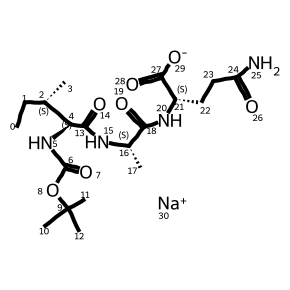 CC[C@H](C)[C@H](NC(=O)OC(C)(C)C)C(=O)N[C@@H](C)C(=O)N[C@@H](CCC(N)=O)C(=O)[O-].[Na+]